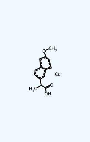 COc1ccc2cc(C(C)C(=O)O)ccc2c1.[Cu]